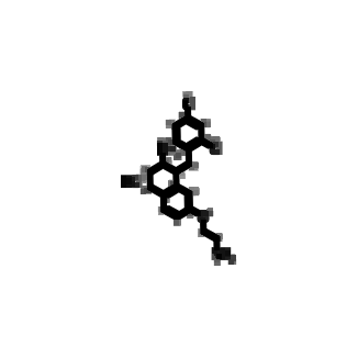 Cl.NCCOc1ccc2c(c1)C(Cc1ccc(Cl)cc1Cl)C(N)CC2